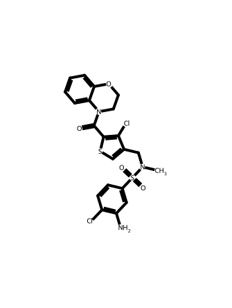 CN(Cc1csc(C(=O)N2CCOc3ccccc32)c1Cl)S(=O)(=O)c1ccc(Cl)c(N)c1